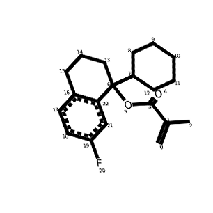 C=C(C)C(=O)OC1(C2CCCCC2)CCCc2ccc(F)cc21